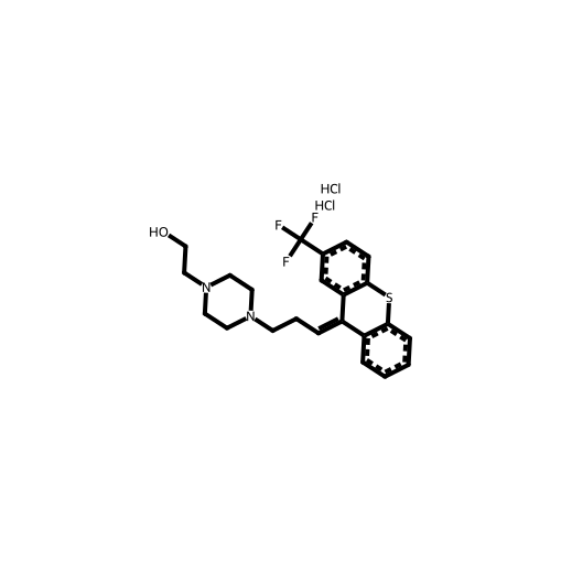 Cl.Cl.OCCN1CCN(CCC=C2c3ccccc3Sc3ccc(C(F)(F)F)cc32)CC1